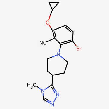 Cn1cnnc1C1CCN(c2c(Br)ccc(OC3CC3)c2C#N)CC1